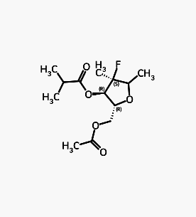 CC(=O)OC[C@H]1OC(C)[C@](C)(F)[C@@H]1OC(=O)C(C)C